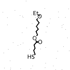 CCOCCCCCCOC(=O)CCCCS